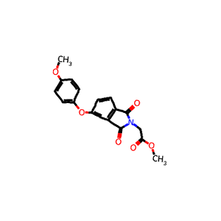 COC(=O)CN1C(=O)c2ccc(Oc3ccc(OC)cc3)cc2C1=O